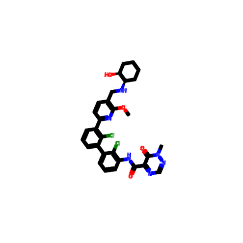 COc1nc(-c2cccc(-c3cccc(NC(=O)c4ncnn(C)c4=O)c3Cl)c2Cl)ccc1CN[C@@H]1CCCC[C@@H]1O